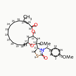 COc1ccc(CN2C(=O)SC[C@H]2[C@@]2(OC)CC3C[C@@H](CCCCCCCCC/C(C)=C\C(=O)O3)O2)cc1